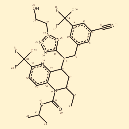 CCC1CC(N(Cc2cc(C#N)cc(C(F)(F)F)c2)c2nnn(CCO)n2)c2nc(C(F)(F)F)ccc2N1C(=O)OC(C)C